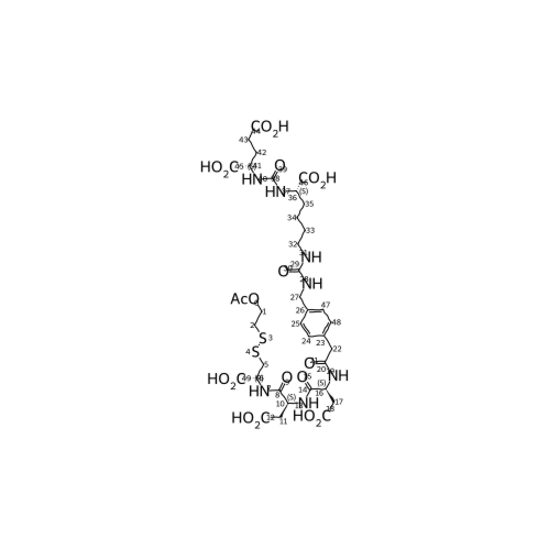 CC(=O)OCCSSC[C@H](NC(=O)[C@H](CC(=O)O)NC(=O)[C@H](CC(=O)O)NC(=O)Cc1ccc(CNC(=O)NCCCC[C@H](NC(=O)N[C@@H](CCC(=O)O)C(=O)O)C(=O)O)cc1)C(=O)O